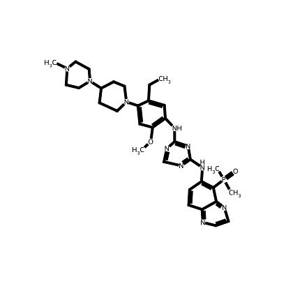 CCc1cc(Nc2ncnc(Nc3ccc4nccnc4c3P(C)(C)=O)n2)c(OC)cc1N1CCC(N2CCN(C)CC2)CC1